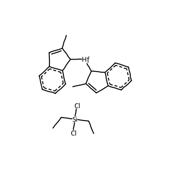 CC1=Cc2ccccc2[CH]1[Hf][CH]1C(C)=Cc2ccccc21.CC[Si](Cl)(Cl)CC